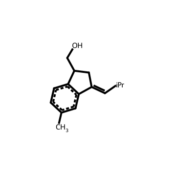 Cc1ccc2c(c1)/C(=C/C(C)C)CC2CO